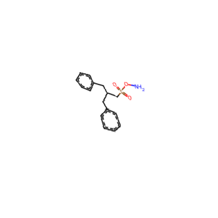 NOS(=O)(=O)CC(Cc1ccccc1)Cc1ccccc1